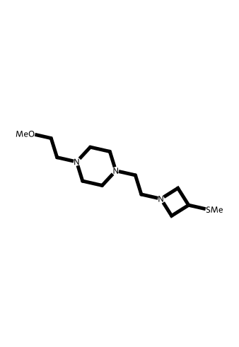 COCCN1CCN(CCN2CC(SC)C2)CC1